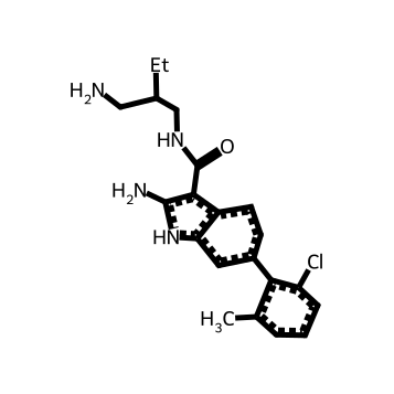 CCC(CN)CNC(=O)c1c(N)[nH]c2cc(-c3c(C)cccc3Cl)ccc12